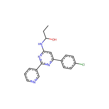 CCC(O)Nc1cc(-c2ccc(Cl)cc2)nc(-c2cccnc2)n1